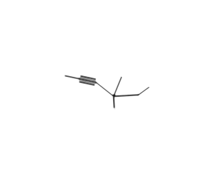 [CH2]C#CC(C)(C)CCl